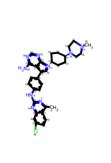 Cc1nc(Nc2ccc(-c3cn([C@H]4CC[C@H](N5CCN(C)CC5)CC4)c4ncnc(N)c34)cc2)nc2cc(Cl)ccc12